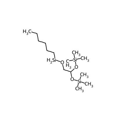 CCCCCC[SiH2]OCC(O[Si](C)(C)C)O[Si](C)(C)C